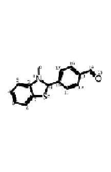 CN1c2ccccc2SC1c1ccc(C=O)cc1